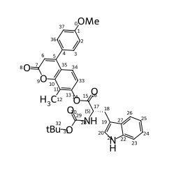 COc1ccc(-c2cc(=O)oc3c(C)c(OC(=O)[C@H](Cc4c[nH]c5ccccc45)NC(=O)OC(C)(C)C)ccc23)cc1